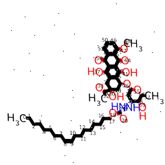 CCCCCCCC/C=C\CCCCCCCCOC(=O)NNC1CC(O[C@H]2C[C@](O)(C(C)=O)Cc3c(O)c4c(c(O)c32)C(=O)c2c(OC)cccc2C4=O)OC(C)C1O